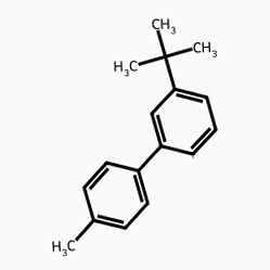 Cc1ccc(-c2[c]ccc(C(C)(C)C)c2)cc1